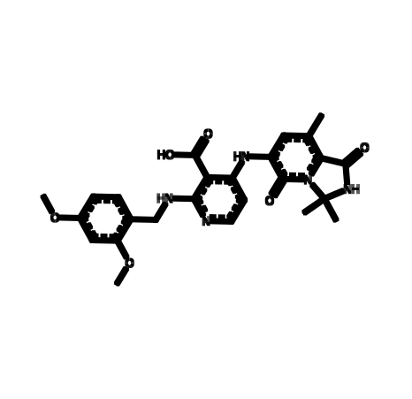 COc1ccc(CNc2nccc(Nc3cc(C)c4n(c3=O)C(C)(C)NC4=O)c2C(=O)O)c(OC)c1